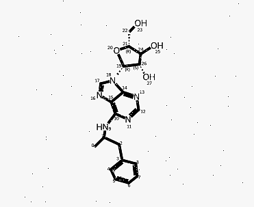 CC(Cc1ccccc1)Nc1ncnc2c1ncn2[C@@H]1O[C@H](CO)C(O)[C@@H]1O